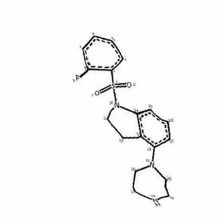 O=S(=O)(c1ccccc1F)N1CCc2c(N3CCNCC3)cccc21